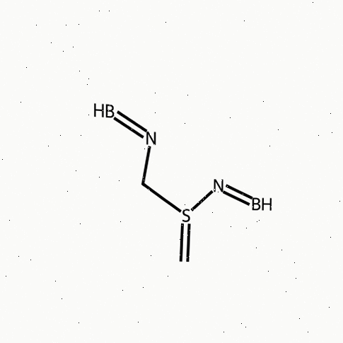 B=NCS(=C)N=B